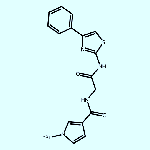 CC(C)(C)n1ccc(C(=O)NCC(=O)Nc2nc(-c3ccccc3)cs2)c1